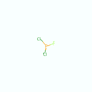 FP(Cl)Cl